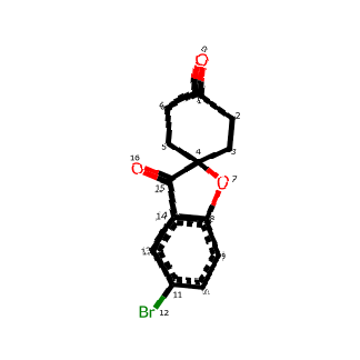 O=C1CCC2(CC1)Oc1ccc(Br)cc1C2=O